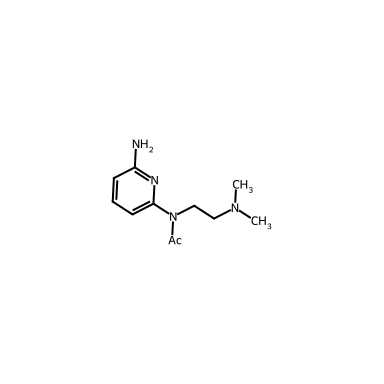 CC(=O)N(CCN(C)C)c1cccc(N)n1